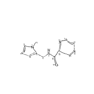 Cn1cncc1CNC(=O)c1cnccn1